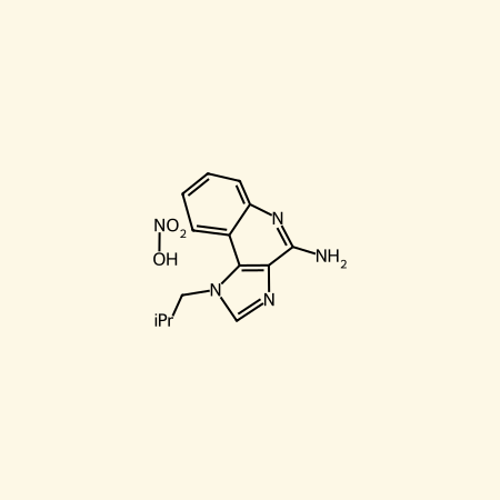 CC(C)Cn1cnc2c(N)nc3ccccc3c21.O=[N+]([O-])O